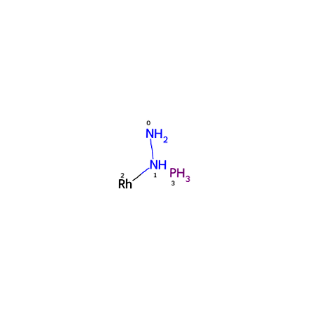 N[NH][Rh].P